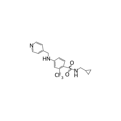 O=S(=O)(NCC1CC1)c1ccc(NCc2ccncc2)cc1C(F)(F)F